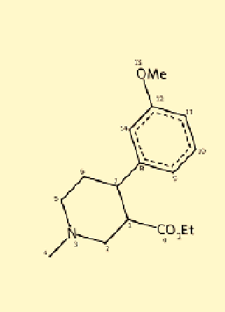 CCOC(=O)C1CN(C)CCC1c1cccc(OC)c1